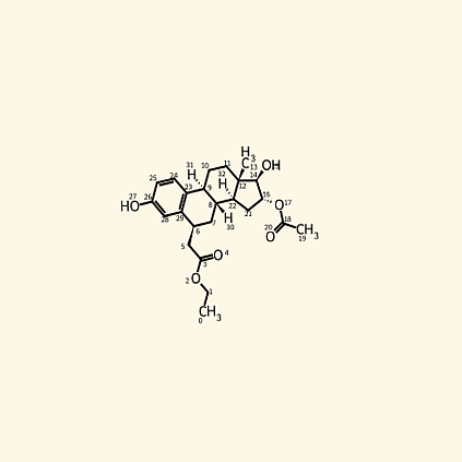 CCOC(=O)C[C@@H]1C[C@@H]2[C@H](CC[C@]3(C)[C@@H](O)[C@H](OC(C)=O)C[C@@H]23)c2ccc(O)cc21